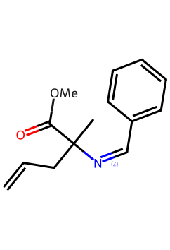 C=CCC(C)(/N=C\c1ccccc1)C(=O)OC